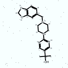 CC(C)(O)c1cnc(N2CCN(Cc3ccc4c(c3)OCO4)CC2)nc1